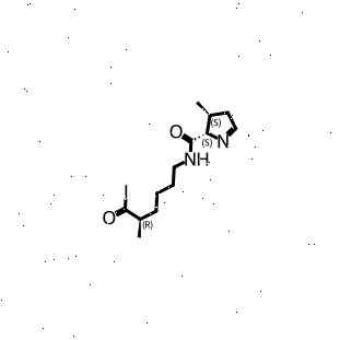 C[C@H](CCCCNC(=O)[C@H]1N=CC[C@@H]1C)C(=O)I